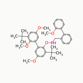 COc1cc(-c2cc(OC)cc(C(C)(C)C)c2OPCc2ccccc2-c2ccccc2OC)c(OC)c(C(C)(C)C)c1